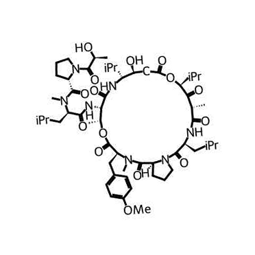 COc1ccc(C[C@H]2C(=O)O[C@H](C)[C@H](NC(=O)[C@@H](CC(C)C)N(C)C(=O)[C@@H]3CCCN3C(=O)[C@H](C)O)C(=O)N[C@H](C(C)C)[C@@H](O)CC(=O)O[C@@H](C(C)C)C(=O)[C@H](C)C(=O)N[C@@H](CC(C)C)C(=O)N3CCC[C@H]3C(=O)N2C)cc1